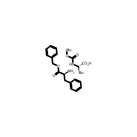 CC[C@H](C)[C@H](NC(=O)OC(C)(C)C)C(=O)O.N[C@@H](Cc1ccccc1)C(=O)OCc1ccccc1